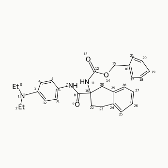 CCN(CC)c1ccc(NC(=O)C2(NC(=O)OCc3ccccc3)CCc3ccccc3C2)cc1